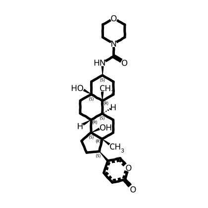 C[C@]12CC[C@H](NC(=O)N3CCOCC3)C[C@@]1(O)CC[C@@H]1[C@@H]2CC[C@]2(C)[C@@H](c3ccc(=O)oc3)CC[C@]12O